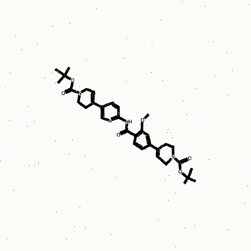 COc1cc(C2=CCN(C(=O)OC(C)(C)C)CC2)ccc1C(=O)Nc1ccc(C2=CCN(C(=O)OC(C)(C)C)CC2)cn1